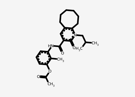 CC(=O)Oc1cccc(NC(=O)c2cc3c(n(CC(C)C)c2=O)CCCCCC3)c1C